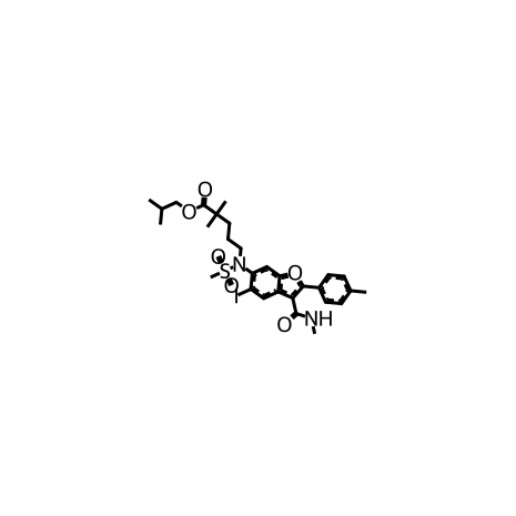 CNC(=O)c1c(-c2ccc(C)cc2)oc2cc(N(CCCC(C)(C)C(=O)OCC(C)C)S(C)(=O)=O)c(I)cc12